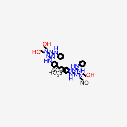 O=NCCN(CCO)C1N=C(Nc2ccc(/C=C/c3ccc(Nc4nc(Nc5ccccc5)nc(N(CCO)CCO)n4)cc3S(=O)(=O)O)c(S(=O)(=O)O)c2)NC(Nc2ccccc2)N1